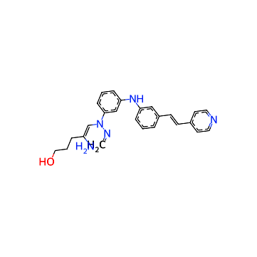 C=NN(/C=C(\N)CCCO)c1cccc(Nc2cccc(/C=C/c3ccncc3)c2)c1